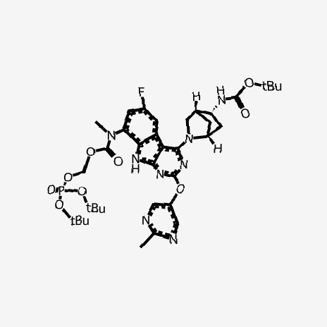 Cc1ncc(Oc2nc(N3C[C@H]4C[C@@H]3C[C@H]4NC(=O)OC(C)(C)C)c3c(n2)[nH]c2c(N(C)C(=O)OCOP(=O)(OC(C)(C)C)OC(C)(C)C)cc(F)cc23)cn1